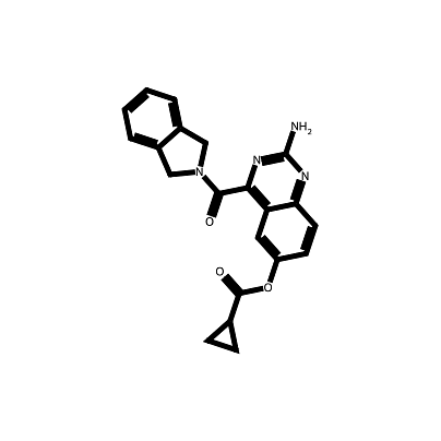 Nc1nc(C(=O)N2Cc3ccccc3C2)c2cc(OC(=O)C3CC3)ccc2n1